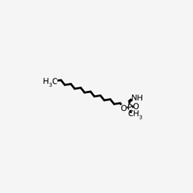 CCCCCCCCCCCCCCOP(C)(=O)C=N